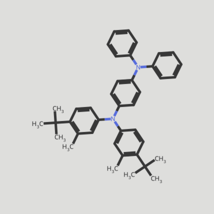 Cc1cc(N(c2ccc(N(c3ccccc3)c3ccccc3)cc2)c2ccc(C(C)(C)C)c(C)c2)ccc1C(C)(C)C